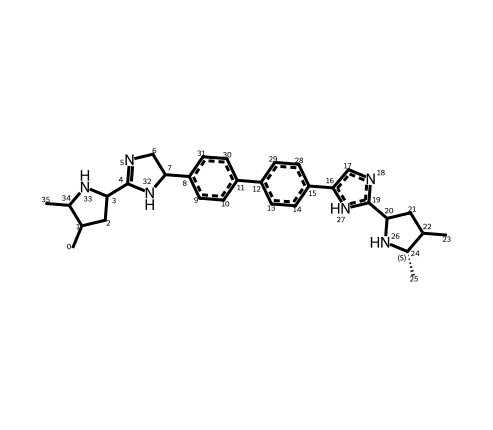 CC1CC(C2=NCC(c3ccc(-c4ccc(-c5cnc(C6CC(C)[C@H](C)N6)[nH]5)cc4)cc3)N2)NC1C